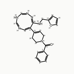 O=C(c1ccccc1)N1CC=C(c2cnc[nH]cnnc2NCc2ccco2)CC1